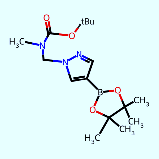 CN(Cn1cc(B2OC(C)(C)C(C)(C)O2)cn1)C(=O)OC(C)(C)C